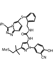 CSCC(C)(C)c1cc(NC(=O)NCc2ccccc2Sc2ccc3nnc(C(C)C)n3c2)n(-c2ccc(O)c(C#N)c2)n1